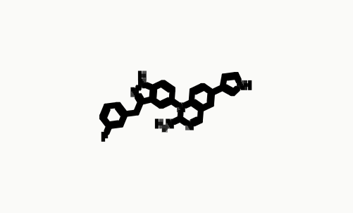 NC1N=Cc2cc(-c3cc[nH]c3)ccc2N1c1ccc2[nH]nc(Cc3cccc(F)c3)c2c1